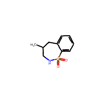 CC1CNS(=O)(=O)c2ccccc2C1